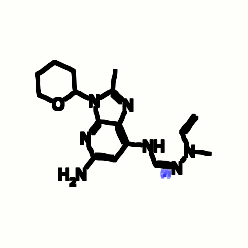 C=CN(C)/N=C\Nc1cc(N)nc2c1nc(C)n2C1CCCCO1